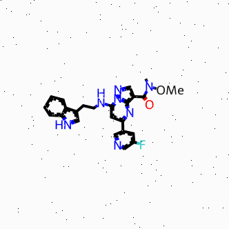 CON(C)C(=O)c1cnn2c(NCCc3c[nH]c4ccccc34)cc(-c3cncc(F)c3)nc12